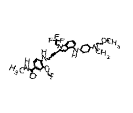 CNC(=O)c1ccc(NCC#Cc2cc3c(N[C@H]4CC[C@H](N(C)CCOC)CC4)cccc3n2CC(F)(F)F)c(OCF)c1